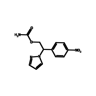 NC(=O)OCC(c1ccc([N+](=O)[O-])cc1)n1cccn1